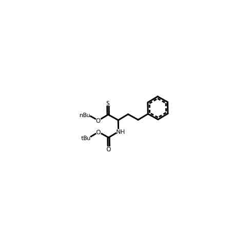 CCCCOC(=S)C(CCc1ccccc1)NC(=O)OC(C)(C)C